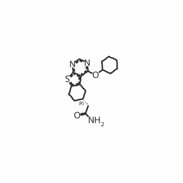 NC(=O)C[C@@H]1CCc2sc3ncnc(OC4CCCCC4)c3c2C1